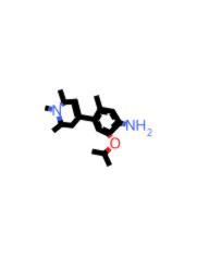 Cc1cc(N)c(OC(C)C)cc1C1=CC(C)N(C)C(C)C1